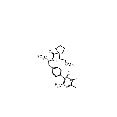 COCCC1(C(=O)NC(Cc2ccc(-c3c(C(F)(F)F)cc(C)n(C)c3=O)cc2)C(=O)O)CCCC1